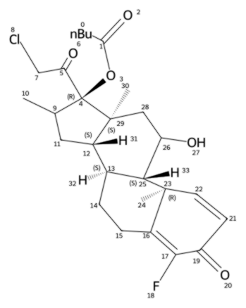 CCCCC(=O)O[C@]1(C(=O)CCl)C(C)C[C@H]2[C@@H]3CCC4=C(F)C(=O)C=C[C@]4(C)[C@H]3C(O)C[C@@]21C